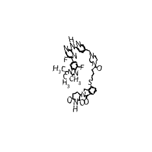 Cc1nc2c(F)cc(-c3nc(Nc4ccc(CN5CCN(C(=O)CCCCSc6cccc7c6CN(C6CCC(=O)NC6=O)C7=O)CC5)cn4)ncc3F)cc2n1C(C)C